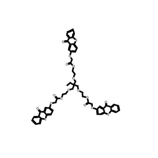 CCC(COCCOC(=O)COc1ccc2sc3ccccc3c(=O)c2c1)(COCCOC(=O)COc1ccc2sc3ccccc3c(=O)c2c1)COCCOC(=O)COc1ccc2sc3ccccc3c(=O)c2c1